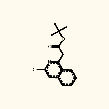 CC(C)(C)OC(=O)Cc1nc(Cl)cc2ccccc12